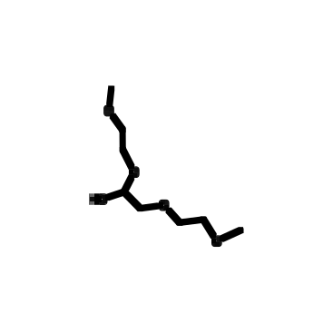 COCCOCC(O)OCCOC